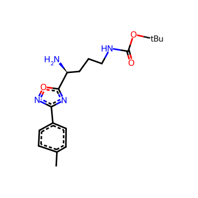 Cc1ccc(-c2noc([C@@H](N)CCCNC(=O)OC(C)(C)C)n2)cc1